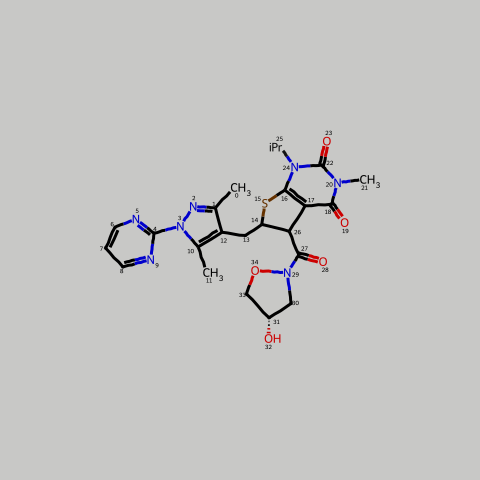 Cc1nn(-c2ncccn2)c(C)c1CC1Sc2c(c(=O)n(C)c(=O)n2C(C)C)C1C(=O)N1C[C@H](O)CO1